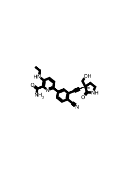 CCNc1ccc(-c2ccc(C#N)c(C#C[C@@]3(CO)CCNC3=O)c2)nc1C(N)=O